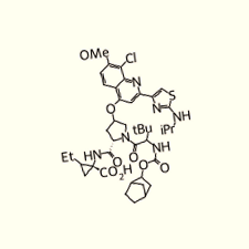 CCC1C[C@]1(NC(=O)[C@@H]1CC(Oc2cc(-c3csc(NC(C)C)n3)nc3c(Cl)c(OC)ccc23)CN1C(=O)C(NC(=O)OC1CC2CCC1C2)C(C)(C)C)C(=O)O